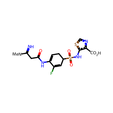 CNC(=N)CC(=O)NC1=CCC(S(=O)(=O)Nc2scnc2C(=O)O)C=C1F